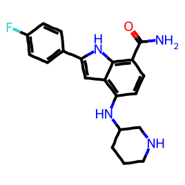 NC(=O)c1ccc(NC2CCCNC2)c2cc(-c3ccc(F)cc3)[nH]c12